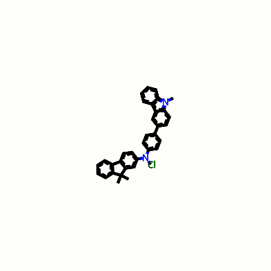 Cn1c2ccccc2c2cc(-c3ccc(N(Cl)c4ccc5c(c4)C(C)(C)c4ccccc4-5)cc3)ccc21